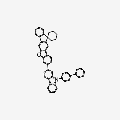 c1ccc(-c2ccc(-n3c4ccccc4c4ccc(-c5ccc6c(c5)oc5cc7c(cc56)C5(CCCCC5)c5ccccc5-7)cc43)cc2)cc1